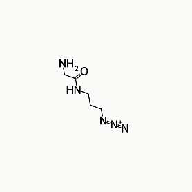 [N-]=[N+]=NCCCNC(=O)CN